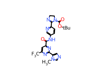 Cn1cncc1-c1nc(C(=O)Nc2ccc(C3=NCCN3C(=O)OC(C)(C)C)nc2)cc(C(F)(F)F)n1